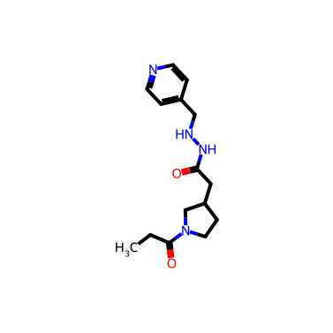 CCC(=O)N1CCC(CC(=O)NNCc2ccncc2)C1